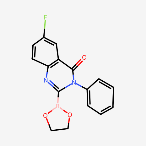 O=c1c2cc(F)ccc2nc(B2OCCO2)n1-c1ccccc1